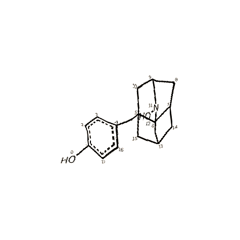 Oc1ccc(C23CC4CC(C2)N(O)C(C4)C3)cc1